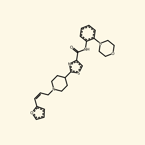 O=C(Nc1ccccc1N1CCOCC1)c1csc(C2CCN(C/C=C\c3ccco3)CC2)n1